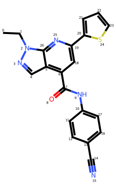 CCn1ncc2c(C(=O)Nc3ccc(C#N)cc3)cc(-c3cccs3)nc21